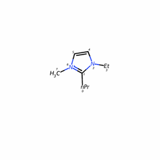 CCCc1n(CC)cc[n+]1C